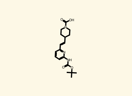 CC(C)(C)OC(=O)Nc1cccc(C=CC2CCN(C(=O)O)CC2)n1